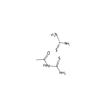 CC(=O)NC(N)=S.NC(N)=S